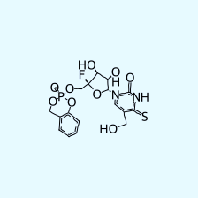 O=c1[nH]c(=S)c(CO)cn1[C@@H]1O[C@](F)(COP2(=O)OCc3ccccc3O2)[C@@H](O)[C@H]1O